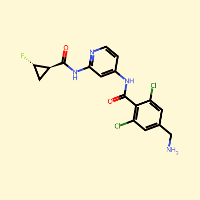 NCc1cc(Cl)c(C(=O)Nc2ccnc(NC(=O)[C@H]3C[C@@H]3F)c2)c(Cl)c1